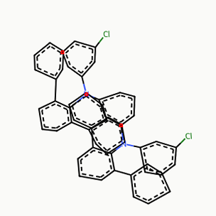 Clc1cccc(N(c2cccc(N(c3cccc(Cl)c3)c3c(-c4ccccc4)cccc3-c3ccccc3)c2)c2c(-c3ccccc3)cccc2-c2ccccc2)c1